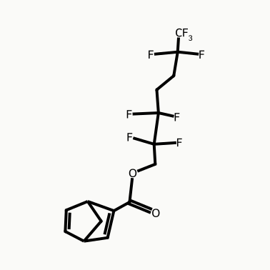 O=C(OCC(F)(F)C(F)(F)CCC(F)(F)C(F)(F)F)C1=CC2C=CC1C2